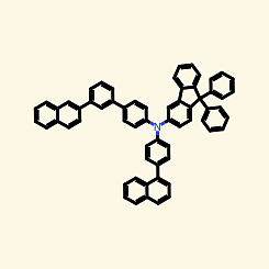 c1ccc(C2(c3ccccc3)c3ccccc3-c3cc(N(c4ccc(-c5cccc(-c6ccc7ccccc7c6)c5)cc4)c4ccc(-c5cccc6ccccc56)cc4)ccc32)cc1